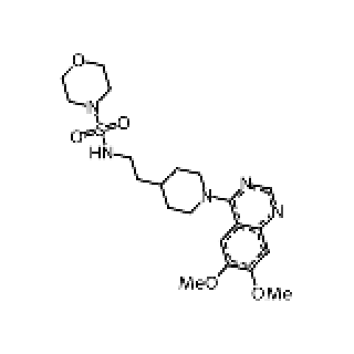 COc1cc2ncnc(N3CCC(CCNS(=O)(=O)N4CCOCC4)CC3)c2cc1OC